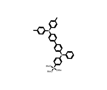 CO[Si](OC)(OC)c1ccc(N(c2ccccc2)c2ccc(-c3ccc(N(c4ccc(C)cc4)c4ccc(C)cc4)cc3)cc2)cc1